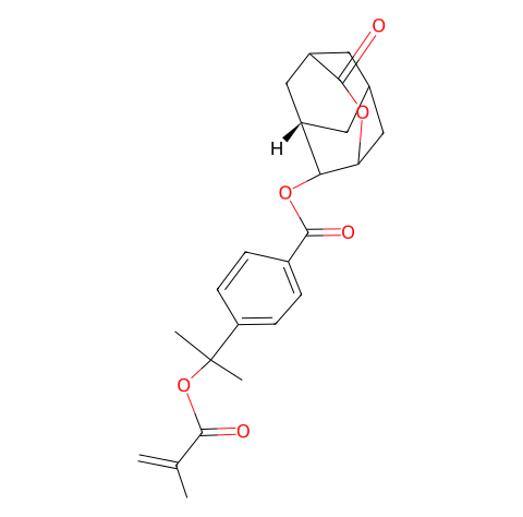 C=C(C)C(=O)OC(C)(C)c1ccc(C(=O)OC2C3CC4CC(C[C@@H]2C4)C(=O)O3)cc1